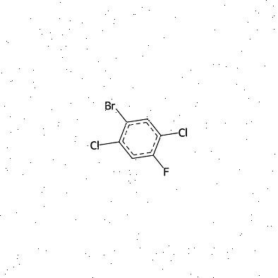 Fc1cc(Cl)c(Br)cc1Cl